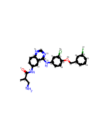 CC(CN)C(=O)Nc1ccc2ncnc(Nc3ccc(OCc4cccc(F)c4)c(Cl)c3)c2c1